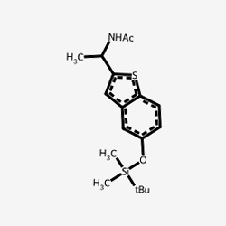 CC(=O)NC(C)c1cc2cc(O[Si](C)(C)C(C)(C)C)ccc2s1